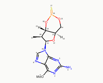 COc1nc(N)nc2c1ncn2[C@@H]1O[C@@H]2CO[PH](=S)O[C@H]2[C@@H]1C